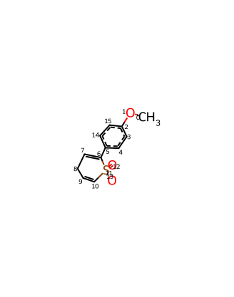 COc1ccc(C2=CCC=CS2(=O)=O)cc1